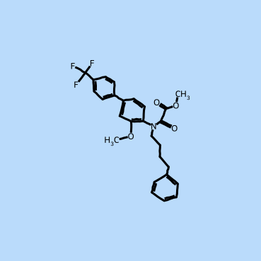 COC(=O)C(=O)N(CCCCc1ccccc1)c1ccc(-c2ccc(C(F)(F)F)cc2)cc1OC